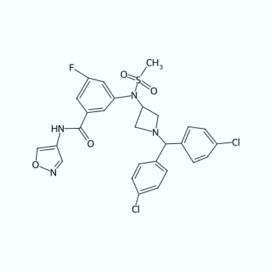 CS(=O)(=O)N(c1cc(F)cc(C(=O)Nc2cnoc2)c1)C1CN(C(c2ccc(Cl)cc2)c2ccc(Cl)cc2)C1